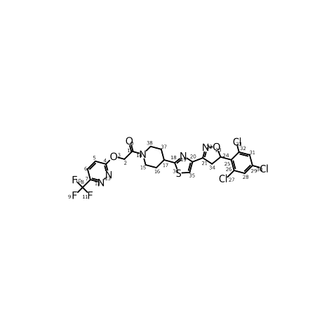 O=C(COc1ccc(C(F)(F)F)nn1)N1CCC(c2nc(C3=NOC(c4c(Cl)cc(Cl)cc4Cl)C3)cs2)CC1